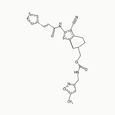 Cc1cc(CNC(=O)OCC2CCc3c(sc(NC(=O)C=Cc4ccsc4)c3C#N)C2)no1